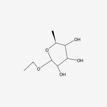 CCOC1O[C@@H](C)C(O)C(O)C1O